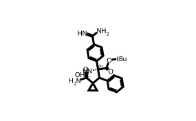 CC(C)(C)OC(=O)[C@](NC=O)(c1ccc(C(=N)N)cc1)C(c1ccccc1)C1(C(N)=O)CC1